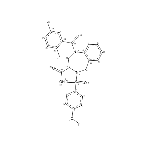 COc1ccc(S(=O)(=O)N2Cc3ccccc3N(C(=O)c3cc(C)ccc3C)CC2C(=O)O)cc1